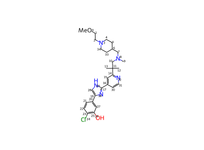 COCCN1CCC(CN(C)CC(C)(C)c2cc(-c3nc(-c4ccc(Cl)c(O)c4)c[nH]3)ccn2)CC1